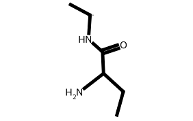 C[CH]NC(=O)C(N)CC